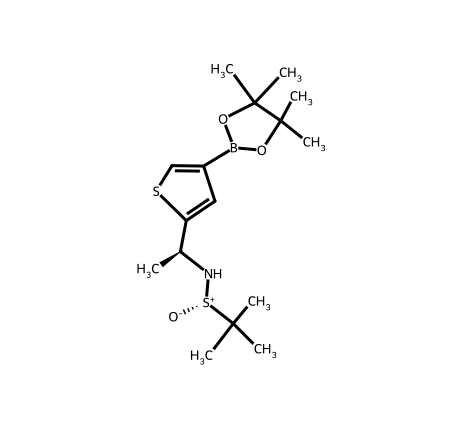 C[C@H](N[S@@+]([O-])C(C)(C)C)c1cc(B2OC(C)(C)C(C)(C)O2)cs1